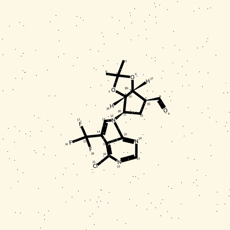 CC1(C)O[C@@H]2[C@H](O1)[C@@H](C=O)C[C@H]2n1cc(C(F)(F)F)c2c(Cl)ncnc21